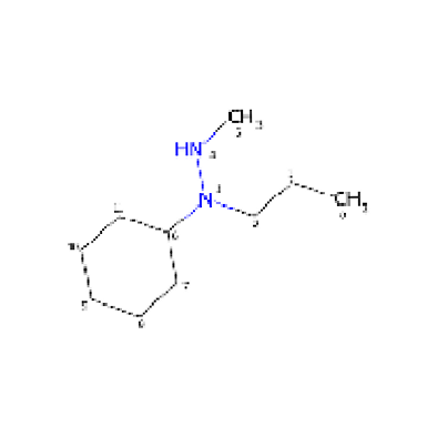 CCCN(NC)C1CCCCC1